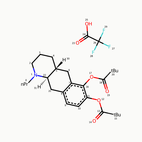 CCCN1CCC[C@@H]2Cc3c(ccc(OC(=O)C(C)(C)C)c3OC(=O)C(C)(C)C)C[C@H]21.O=C(O)C(F)(F)F